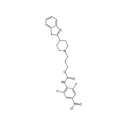 O=C(Nc1c(F)cc([N+](=O)[O-])cc1F)OCCCN1CCC(c2nc3ccccc3s2)CC1